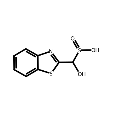 O=S(O)C(O)c1nc2ccccc2s1